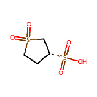 O=S1(=O)CC[C@@H](S(=O)(=O)O)C1